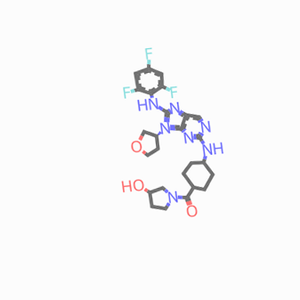 O=C(C1CCC(Nc2ncc3nc(Nc4c(F)cc(F)cc4F)n([C@H]4CCOC4)c3n2)CC1)N1CCC(O)C1